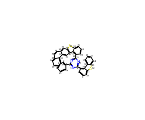 c1ccc(-c2nc(-c3cccc4sc5ccccc5c34)nc(-c3cccc4sc5cc6ccc7ccccc7c6cc5c34)n2)cc1